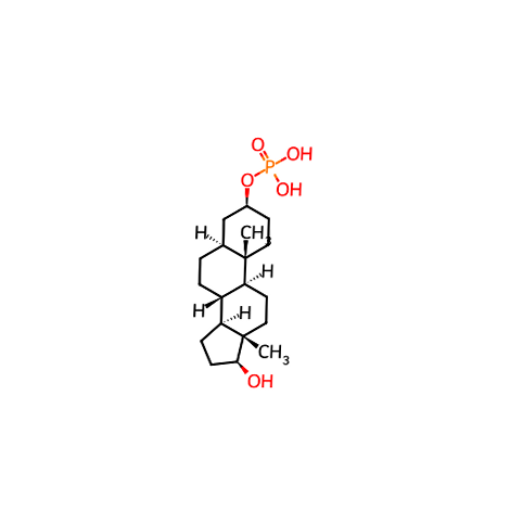 C[C@]12CC[C@H](OP(=O)(O)O)C[C@@H]1CC[C@@H]1[C@@H]2CC[C@]2(C)[C@@H](O)CC[C@@H]12